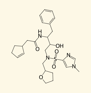 Cn1cnc(S(=O)(=O)N(CC2CCCO2)CC(O)C(Cc2ccccc2)NC(=O)CC2C=CCC2)c1